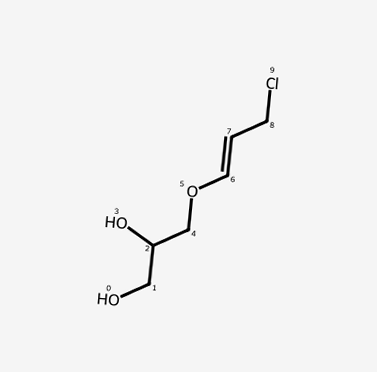 OCC(O)COC=CCCl